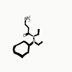 CCN(C(=O)CCN)N(CC)C1CCCCC1